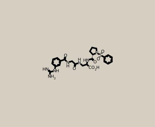 N=C(N)Nc1cccc(C(=O)NCC(=O)NCC(NC(=O)[C@@H]2CCCN2S(=O)(=O)c2ccccc2)C(=O)O)c1